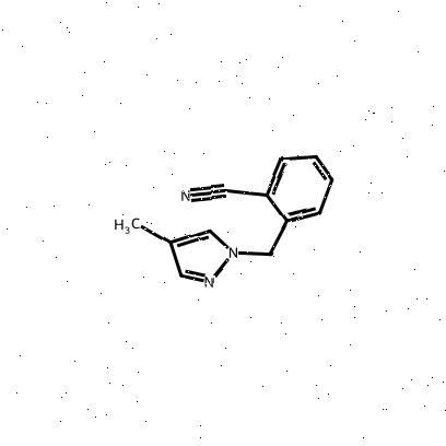 Cc1cnn(Cc2ccccc2C#N)c1